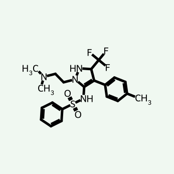 Cc1ccc(C2=C(NS(=O)(=O)c3ccccc3)N(CCN(C)C)NC2C(F)(F)F)cc1